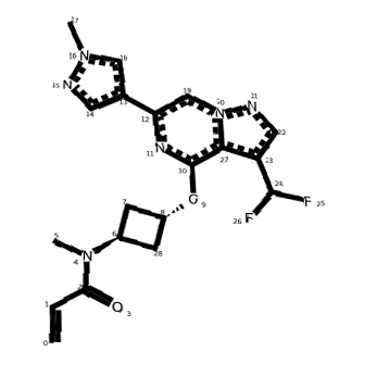 C=CC(=O)N(C)[C@H]1C[C@H](Oc2nc(-c3cnn(C)c3)cn3ncc(C(F)F)c23)C1